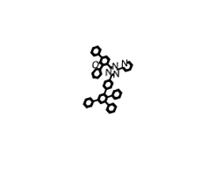 c1ccc(-c2cc(-c3ccccc3)c(-c3ccccc3)c(-c3ccc(-c4nc(-c5ccccn5)nc(-c5ccc(-c6ccccc6)c6oc7ccccc7c56)n4)cc3)c2)cc1